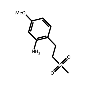 COc1ccc(CCS(C)(=O)=O)c(N)c1